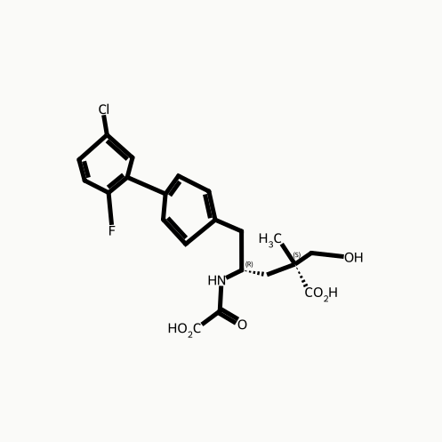 C[C@@](CO)(C[C@@H](Cc1ccc(-c2cc(Cl)ccc2F)cc1)NC(=O)C(=O)O)C(=O)O